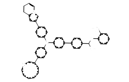 CC(Sc1ccccc1N)c1ccc(-c2ccc(N(c3ccc(-c4cccccc[nH]c4)cc3)c3ccc(-c4cc5n(c4)C=CCC5)cc3)cc2)cc1